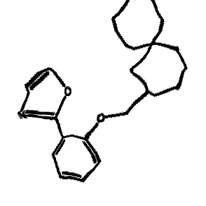 c1ccc(-c2ncco2)c(OCC2CCCC3(CCCCC3)C2)c1